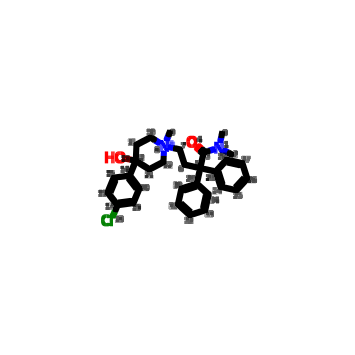 CN(C)C(=O)C(CC[N+]1(C)CCC(O)(c2ccc(Cl)cc2)CC1)(c1ccccc1)c1ccccc1